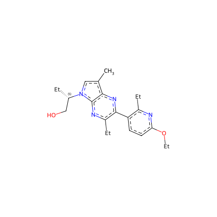 CCOc1ccc(-c2nc3c(C)cn([C@@H](CC)CO)c3nc2CC)c(CC)n1